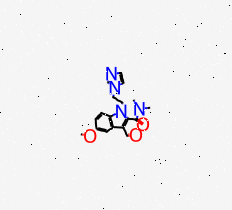 COc1ccc2c(c1)c(C=O)c(C(=O)N(C)C)n2CCn1ccnc1